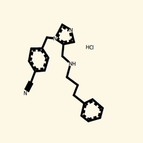 Cl.N#Cc1ccc(Cn2cncc2CNCCCc2ccccc2)cc1